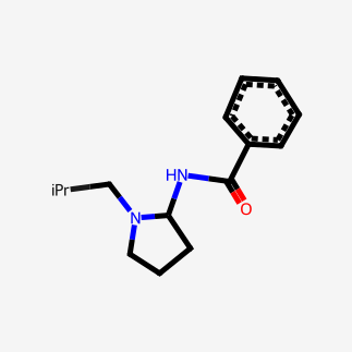 CC(C)CN1CCCC1NC(=O)c1ccccc1